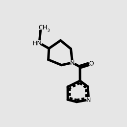 CNC1CCN(C(=O)c2cccnc2)CC1